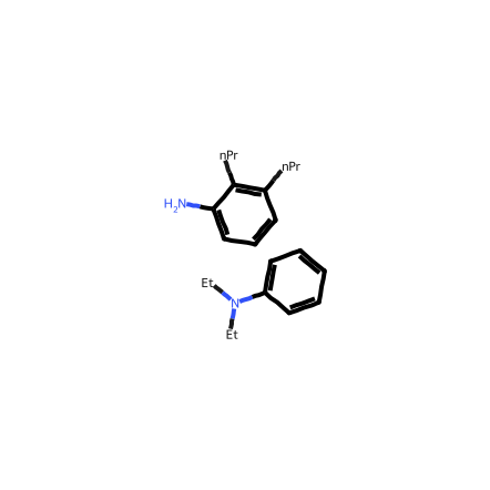 CCCc1cccc(N)c1CCC.CCN(CC)c1ccccc1